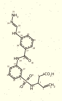 C=CC(CC(=O)O)NS(=O)(=O)c1cccc(NC(=O)c2cccc(NC=NN)c2)c1